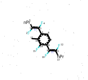 CCC/C(F)=C(\F)c1ccc(/C(F)=C(\F)CCC)c(F)c1C